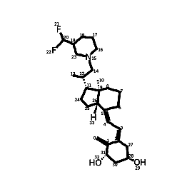 C=C1C(=CC=C2CCC[C@]3(C)[C@@H](C(C)CN4CCCC(C(F)F)C4)CC[C@@H]23)C[C@@H](O)C[C@@H]1O